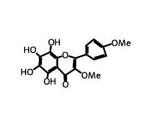 COc1ccc(-c2oc3c(O)c(O)c(O)c(O)c3c(=O)c2OC)cc1